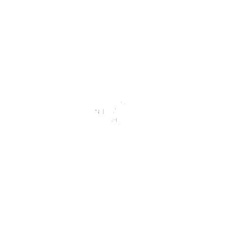 [CaH2].[Gd].[Nd].[Zn]